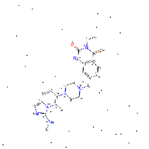 CCn1c(=O)[nH]c2cc(CN3CCN(c4ccc5cnc(NC)n5c4C)CC3)ccc2c1=S